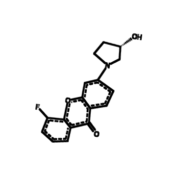 O=c1c2ccc(N3CC[C@H](O)C3)cc2oc2c(F)cccc12